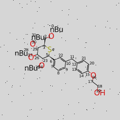 CCCCOC[C@H]1S[C@@H](c2cccc(Cc3ccc(OCCO)cc3)c2)[C@H](OCCCC)[C@@H](OCCCC)[C@@H]1OCCCC